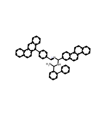 NC(NC(/N=C/c1ccc(-c2c3ccccc3cc3c2ccc2ccccc23)cc1)c1ccc2c(ccc3c4ccccc4ccc23)c1)c1ccccc1-c1ccccc1